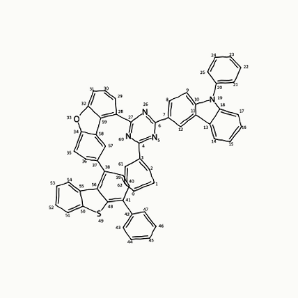 c1ccc(-c2nc(-c3ccc4c(c3)c3ccccc3n4-c3ccccc3)nc(-c3cccc4oc5ccc(-c6ccc(-c7ccccc7)c7sc8ccccc8c67)cc5c34)n2)cc1